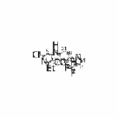 CCc1nc(Cl)cc(NC2CCC(n3nccc3C(F)F)CC2)c1C(=O)O